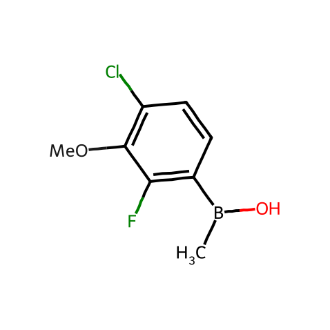 COc1c(Cl)ccc(B(C)O)c1F